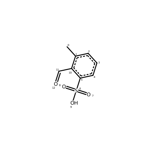 Cc1cccc(S(=O)(=O)O)c1C=O